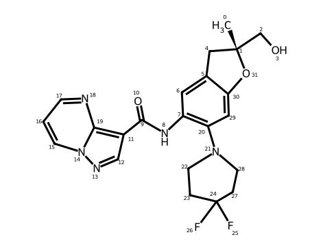 C[C@]1(CO)Cc2cc(NC(=O)c3cnn4cccnc34)c(N3CCC(F)(F)CC3)cc2O1